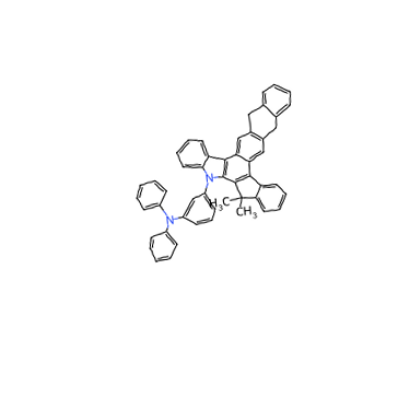 CC1(C)c2ccccc2-c2c1c1c(c3cc4c(cc23)Cc2ccccc2C4)c2ccccc2n1-c1cccc(N(c2ccccc2)c2ccccc2)c1